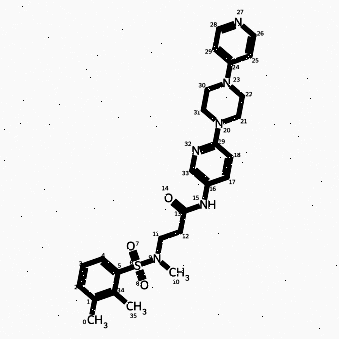 Cc1cccc(S(=O)(=O)N(C)CCC(=O)Nc2ccc(N3CCN(c4ccncc4)CC3)nc2)c1C